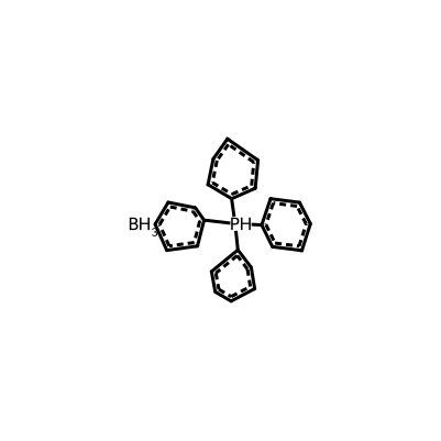 B.c1ccc([PH](c2ccccc2)(c2ccccc2)c2ccccc2)cc1